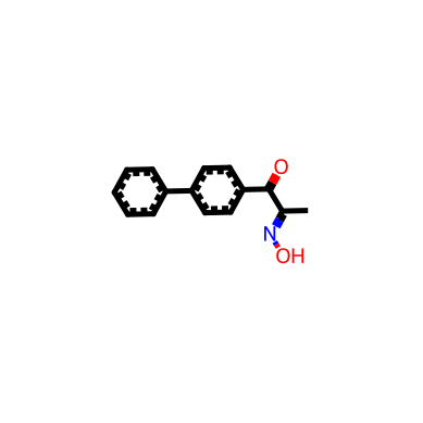 CC(=NO)C(=O)c1ccc(-c2ccccc2)cc1